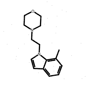 Cc1cccc2ccn(CCN3CCOCC3)c12